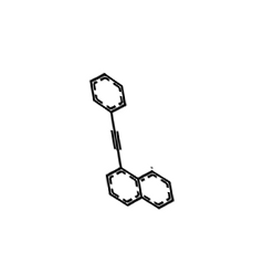 C(#Cc1cccc2ccc[c]c12)c1ccccc1